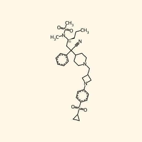 CCC[C@@H](CC(C#N)(c1ccccc1)C1CCN(CC2CN(c3ccc(S(=O)(=O)C4CC4)cc3)C2)CC1)N(C)S(C)(=O)=O